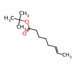 CC=CCCCCC(=O)OC(C)(C)C